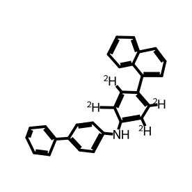 [2H]c1c([2H])c(-c2cccc3ccccc23)c([2H])c([2H])c1Nc1ccc(-c2ccccc2)cc1